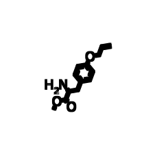 C=CCOc1ccc(CC(N)C(=O)OC)cc1